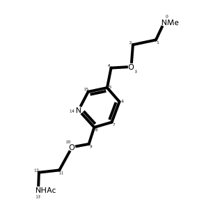 CNCCOCc1ccc(COCCNC(C)=O)nc1